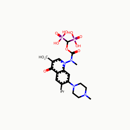 CC(C)c1cc2c(=O)c(C(=O)O)cn(N(C)C(=O)OC(P(=O)(O)O)P(=O)(O)O)c2cc1N1CCN(C)CC1